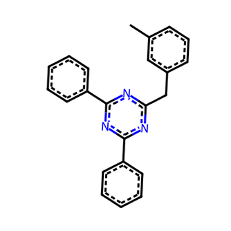 Cc1cccc(Cc2nc(-c3ccccc3)nc(-c3ccccc3)n2)c1